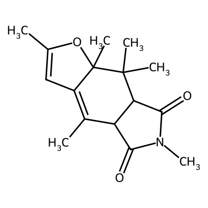 CC1=CC2=C(C)C3C(=O)N(C)C(=O)C3C(C)(C)C2(C)O1